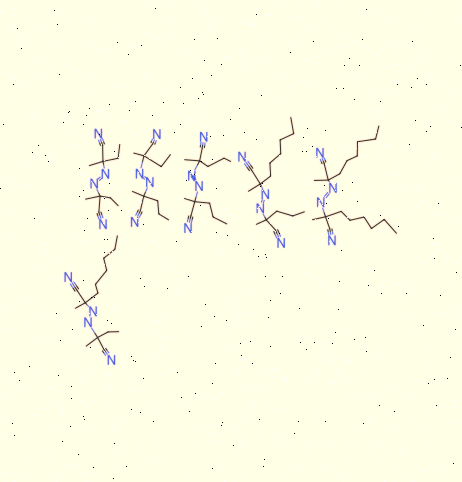 CCC(C)(C#N)N=NC(C)(C#N)CC.CCCC(C)(C#N)N=NC(C)(C#N)CC.CCCC(C)(C#N)N=NC(C)(C#N)CCC.CCCCCCC(C)(C#N)N=NC(C)(C#N)CC.CCCCCCC(C)(C#N)N=NC(C)(C#N)CCC.CCCCCCC(C)(C#N)N=NC(C)(C#N)CCCCCC